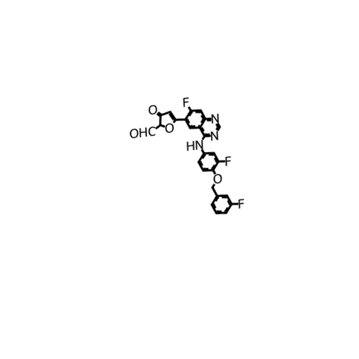 O=CC1OC(c2cc3c(Nc4ccc(OCc5cccc(F)c5)c(F)c4)ncnc3cc2F)=CC1=O